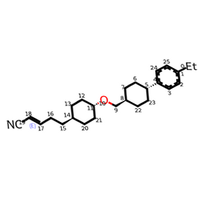 CCc1ccc([C@H]2CC[C@H](CO[C@H]3CC[C@H](CC/C=C/C#N)CC3)CC2)cc1